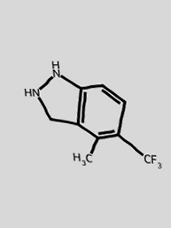 Cc1c(C(F)(F)F)ccc2c1CNN2